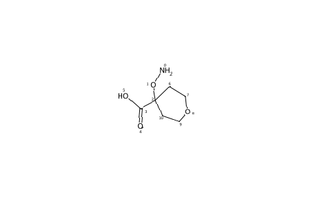 NOC1(C(=O)O)CCOCC1